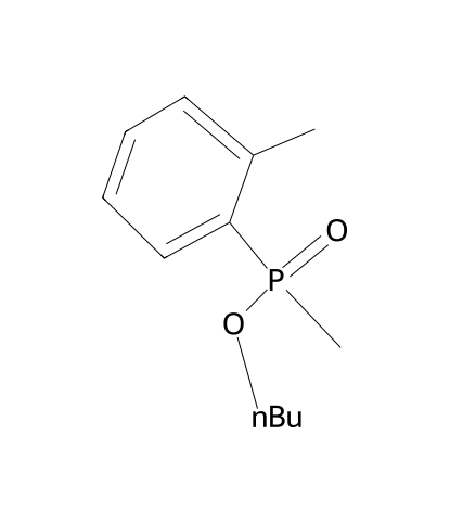 CCCCOP(C)(=O)c1ccccc1C